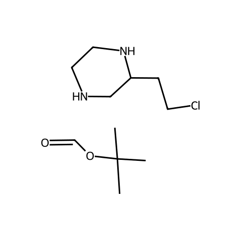 CC(C)(C)OC=O.ClCCC1CNCCN1